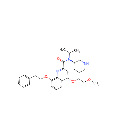 COCCOc1cc(C(=O)N(C(C)C)[C@@H]2CCCNC2)nc2c(OCCc3ccccc3)cccc12